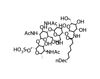 CCCCCCCCCCCCCCCC(=O)N[C@H]1[C@H](O[C@H]2C(O)[C@@H](NC(C)=O)[C@H](O[C@H]3[C@H](O)[C@@H](NC(C)=O)[C@H](O[C@H]4C(O)[C@@H](NC(C)=O)[C@H](C)O[C@@H]4COS(=O)(=O)O)O[C@@H]3CO)O[C@@H]2CO)O[C@H](CO)[C@@H](O)[C@@H]1O